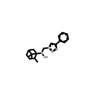 CC1CCC2CC1(B(O)Cn1cc(-c3ccccc3)nn1)C2(C)C